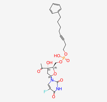 CC(=O)[C@]1(O)C[C@H](n2cc(F)c(=O)[nH]c2=O)O[C@@H]1COP(=O)(O)OCCC#CCCCCc1ccccc1